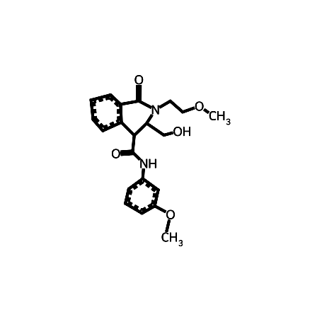 COCCN1C(=O)c2ccccc2C(C(=O)Nc2cccc(OC)c2)C1CO